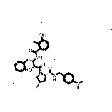 Cc1c(O)cccc1C(=O)N[C@@H](Cc1ccccc1)[C@H](O)C(=O)N1C[C@@H](F)C[C@H]1C(=O)NCc1ccc(N(C)C)cc1